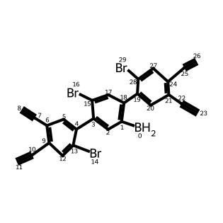 Bc1cc(-c2cc(C#C)c(C#C)cc2Br)c(Br)cc1-c1cc(C#C)c(C#C)cc1Br